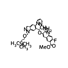 COC(=O)c1cc2cc(OC(C)c3cc4c(cnn4COCC[Si](C)(C)C)cc3-n3cccn3)c(N)nc2cc1F